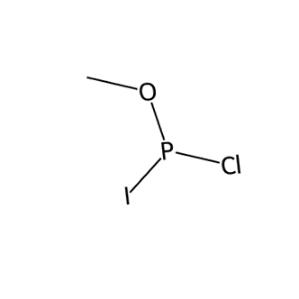 COP(Cl)I